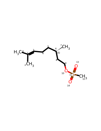 CC(C)=CCC[C@H](C)CCOS(C)(=O)=O